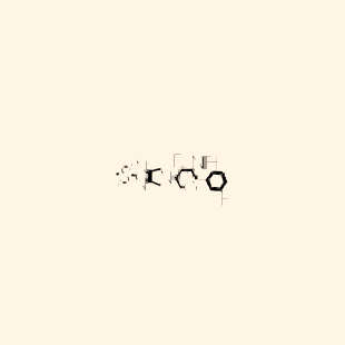 Cn1c(S(C)(=O)=O)nc2c1CN([C@H]1CO[C@H](c3cc(F)ccc3F)[C@@H](N)[C@H]1F)C2